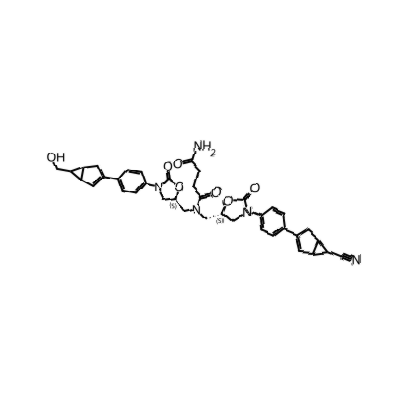 N#CC1C2C=C(c3ccc(N4C[C@H](CN(C[C@H]5CN(c6ccc(C7=CC8C(CO)C8C7)cc6)C(=O)O5)C(=O)CCC(N)=O)OC4=O)cc3)CC12